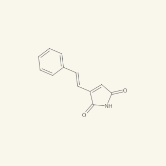 O=C1C=C(C=Cc2ccccc2)C(=O)N1